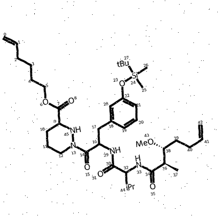 C=CCCCCOC(=O)C1CCCN(C(=O)C(Cc2cccc(O[Si](C)(C)C(C)(C)C)c2)NC(=O)C(NC(=O)[C@H](C)[C@@H](CCC=C)OC)C(C)C)N1